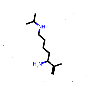 C=C(C)C(N)CCCCNC(C)C